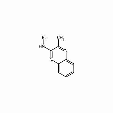 CCNc1nc2ccccc2nc1C